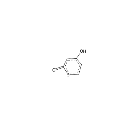 O=c1cc(O)ccs1